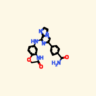 NC(=O)c1ccc(-c2cn3ccnc3c(Nc3ccc4c(c3)NC(=O)CO4)n2)cc1